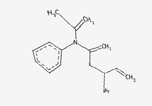 C=CC(CC(=C)N(C(=C)C)c1ccccc1)C(C)C